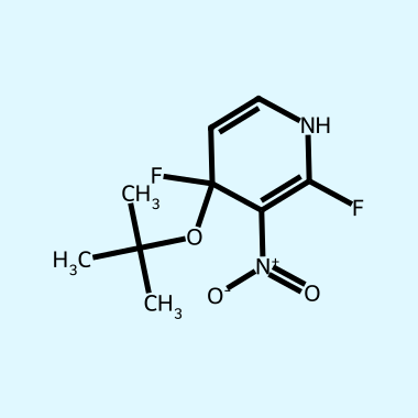 CC(C)(C)OC1(F)C=CNC(F)=C1[N+](=O)[O-]